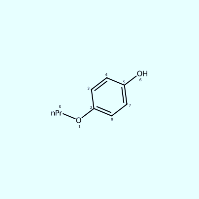 CCCOc1ccc(O)cc1